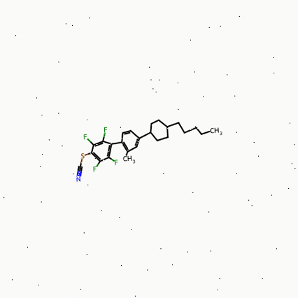 CCCCCC1CCC(c2ccc(-c3c(F)c(F)c(SC#N)c(F)c3F)c(C)c2)CC1